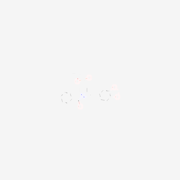 CN(CC(CCS(C)(=O)=O)c1ccc2c(c1)OCO2)C(=O)c1ccccc1